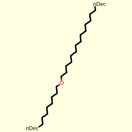 CCCCCCCCCCCCCCCCCCCCCCCCOCCCCCCCCCCCCCCCCCC